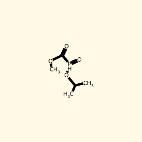 COC(=O)[PH](=O)OC(C)C